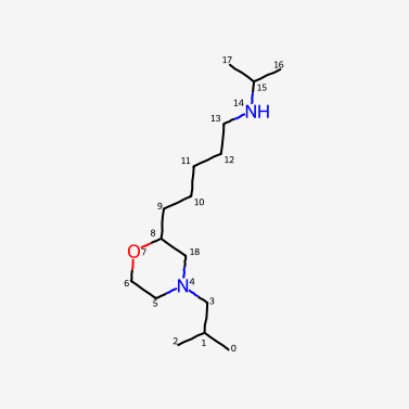 CC(C)CN1CCOC(CCCCCNC(C)C)C1